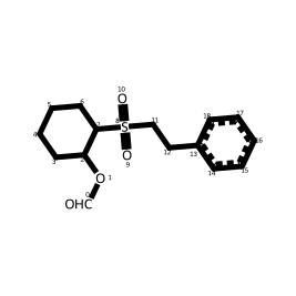 O=COC1CCCCC1S(=O)(=O)CCc1ccccc1